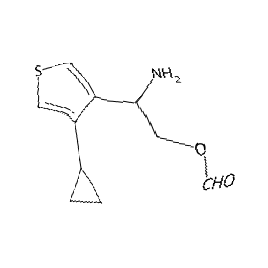 NC(COC=O)c1cscc1C1CC1